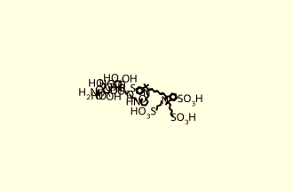 CC1(C)/C(=C/C=C/C=C/C2=[N+](CCCCS(=O)(=O)O)C(C)(CCCCS(=O)(=O)O)c3cc(S(=O)(=O)O)ccc32)N(CCCCCC(=O)NCCOCCOC2O[C@@H](CO)[C@@H](O)[C@H](O)[C@@H]2O[C@H]2O[C@H](CO)[C@@H](OC(N)=O)[C@H](O)[C@@H]2O)c2ccc(S(=O)(=O)O)cc21